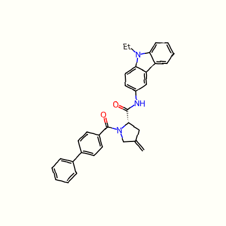 C=C1C[C@@H](C(=O)Nc2ccc3c(c2)c2ccccc2n3CC)N(C(=O)c2ccc(-c3ccccc3)cc2)C1